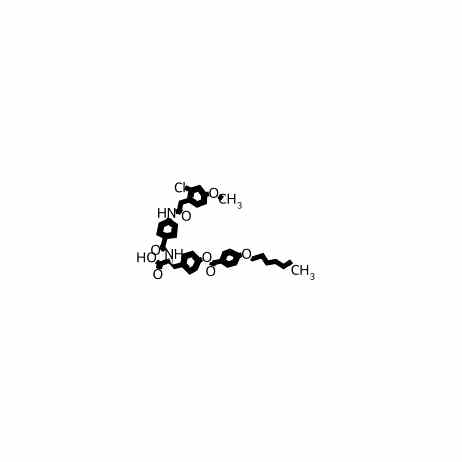 CCCCCCCOc1ccc(C(=O)Oc2ccc(C[C@H](NC(=O)c3ccc(NC(=O)Cc4ccc(OC)cc4Cl)cc3)C(=O)O)cc2)cc1